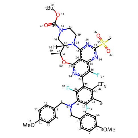 COc1ccc(CN(Cc2ccc(OC)cc2)c2c(F)c(C)c(C(F)(F)F)c(-c3nc4c5c(nc(S(C)(=O)=O)nc5c3F)N3CCN(C(=O)OC(C)(C)C)C[C@H]3[C@H](C)O4)c2F)cc1